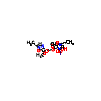 C/C=C/C1=CN2C(=O)c3cc(OC)c(OCCCOc4cc5c(cc4OC)C(=O)N4C=C(/C=C/C)C[C@H]4[C@H](O)N5C(=O)OI)cc3N=C[C@@H]2C1